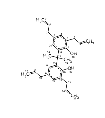 C=CCc1cc(CC=C)c(O)c(C(C)(C)c2cc(CC=C)cc(CC=C)c2O)c1